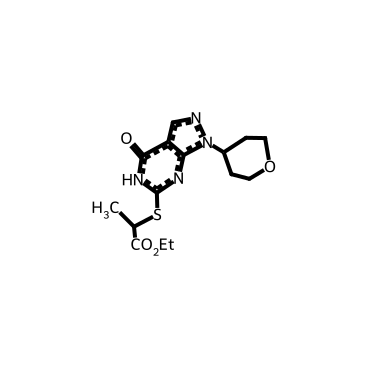 CCOC(=O)C(C)Sc1nc2c(cnn2C2CCOCC2)c(=O)[nH]1